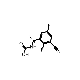 C[C@@H](NC(=O)O)c1cc(F)cc(C#N)c1F